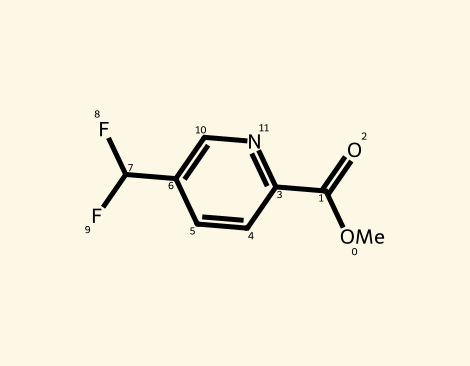 COC(=O)c1ccc(C(F)F)cn1